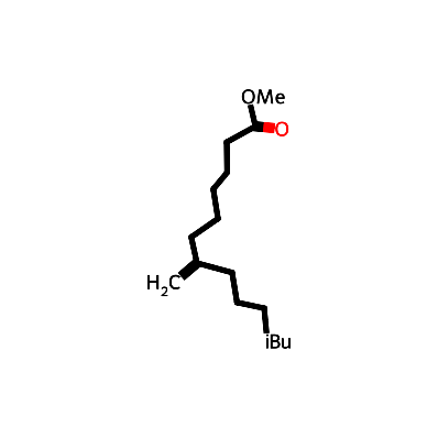 C=C(CCCCCC(=O)OC)CCCC(C)CC